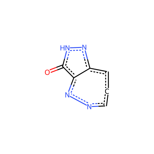 O=c1[nH]nc2cccnnc1-2